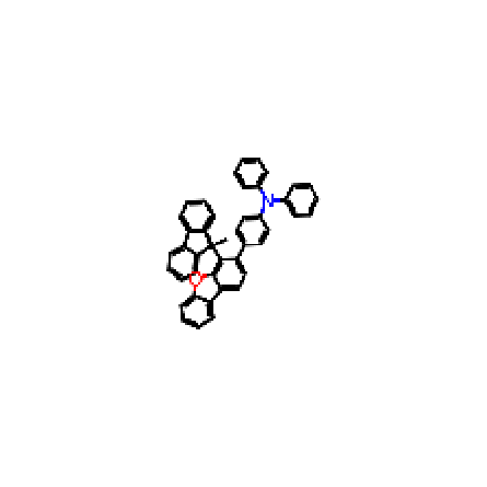 CC1(c2c(-c3ccc(N(c4ccccc4)c4ccccc4)cc3)ccc3c2oc2ccccc23)c2ccccc2-c2ccccc21